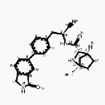 N#C[C@H](Cc1ccc(-c2ccc3c(c2)C(=O)NC3)cc1)NC(=O)[C@H]1N[C@@H]2CC[C@H]1C2